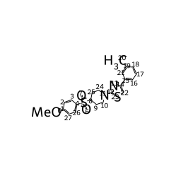 COc1ccc(S(=O)(=O)C2CCN(c3nc(-c4cccc(C)c4)cs3)CC2)cc1